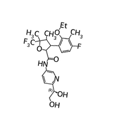 CCOc1c(C2C(C(=O)Nc3ccc([C@@H](O)CO)nc3)OC(C)(C(F)(F)F)C2C)ccc(F)c1C